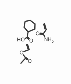 C=CC(N)=O.C=COC(C)=O.O=C(O)C1CCCCC1